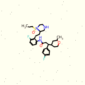 CCC[S+]([O-])N1CCNCC1CCc1c(F)cccc1NC(=O)CC(c1ccc(F)cc1)C1CCOC(C)C1